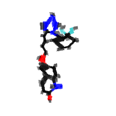 O=C1CCc2cc(OCCCCc3nnnn3[C@@H]3CCCCC3(F)F)ccc2N1